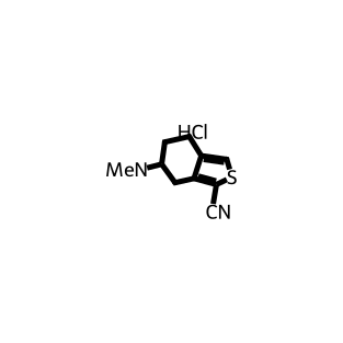 CNC1CCc2csc(C#N)c2C1.Cl